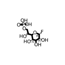 O=P(O)(O)OC[C@@H](O)C1O[C@H](F)[C@H](O)C(O)[C@@H]1O